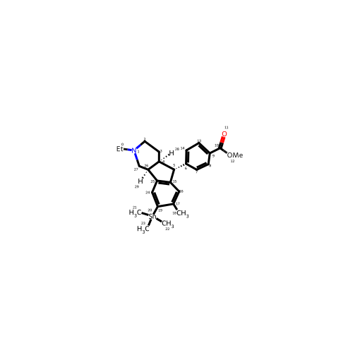 CCN1CC[C@H]2[C@H](c3ccc(C(=O)OC)cc3)c3cc(C)[c]([Sn]([CH3])([CH3])[CH3])cc3[C@H]2C1